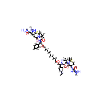 C=C(/C=C\C=C/C)[C@@H](COCCCCCCCCCCOC[C@@H](NC(=O)[C@H]1N2C(=O)CC(C[C@H](NC)C(N)=O)CS[C@H]2CC1(C)C)c1ccccc1)NC(=O)[C@H]1N2C(=O)[C@@H](NC(=O)CNC)CCS[C@H]2CC1(C)C